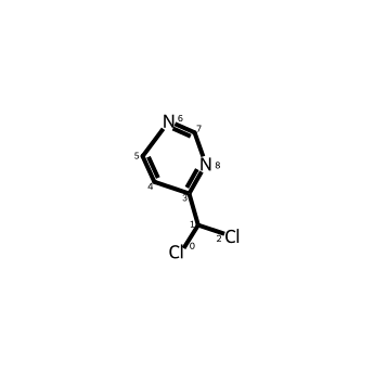 ClC(Cl)c1ccncn1